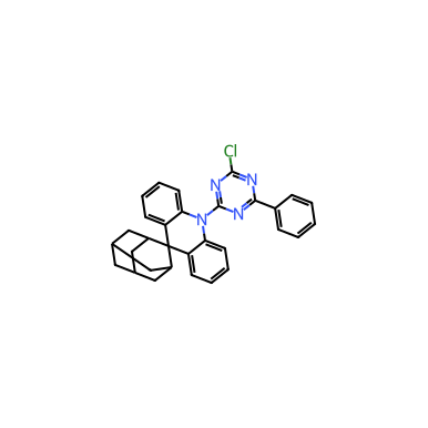 Clc1nc(-c2ccccc2)nc(N2c3ccccc3C3(c4ccccc42)C2CC4CC(C2)CC3C4)n1